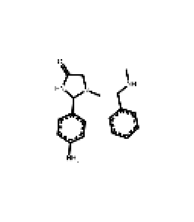 CN1CC(=O)NC1c1ccc(N)cc1.CNCc1ccccc1